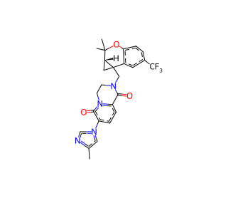 Cc1cn(-c2ccc3n(c2=O)CCN(CC24C[C@@H]2C(C)(C)Oc2ccc(C(F)(F)F)cc24)C3=O)cn1